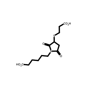 O=C(O)CCCCCN1C(=O)CC(SCCC(=O)O)C1=O